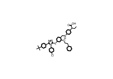 CCC(C(=O)O)c1ccc(NCc2ccc(Sc3nnc(-c4ccc(C(C)(C)C)cc4)n3-c3ccc(Cl)cc3)cc2OCCc2ccccc2)cc1